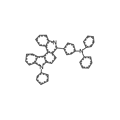 c1ccc(N(c2ccccc2)c2ccc(-c3nc4ccccc4c4c3ccc3c4c4ccccc4n3-c3ccccc3)cc2)cc1